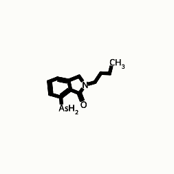 CCCCN1Cc2cccc([AsH2])c2C1=O